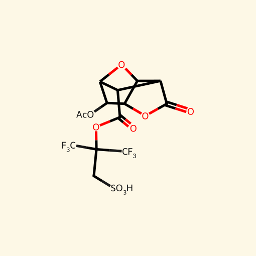 CC(=O)OC1C2OC(=O)C3C2OC1C3C(=O)OC(CS(=O)(=O)O)(C(F)(F)F)C(F)(F)F